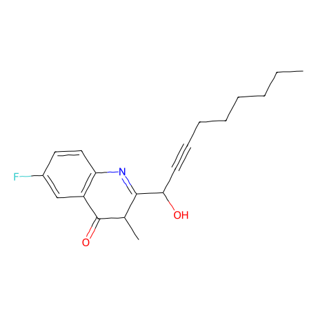 CCCCCCC#CC(O)C1=Nc2ccc(F)cc2C(=O)C1C